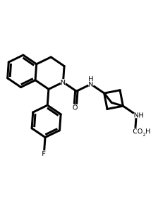 O=C(O)NC12CC(NC(=O)N3CCc4ccccc4C3c3ccc(F)cc3)(C1)C2